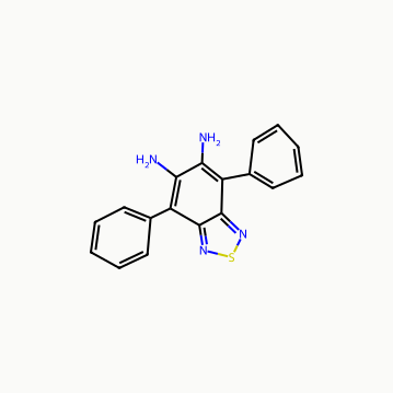 Nc1c(N)c(-c2ccccc2)c2nsnc2c1-c1ccccc1